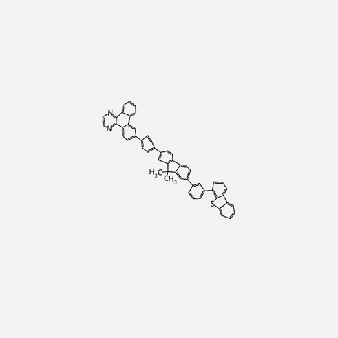 CC1(C)c2cc(-c3ccc(-c4ccc5c(c4)c4ccccc4c4nccnc54)cc3)ccc2-c2ccc(-c3cccc(-c4cccc5c4sc4ccccc45)c3)cc21